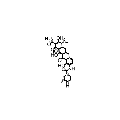 C[C@H]1CN(C(=O)Nc2ccc3c(c2O)C(=O)C2=C(O)C4(O)C(=O)C(C(N)=O)=C(O)C(N(C)C)C4CC2C3)CCN1